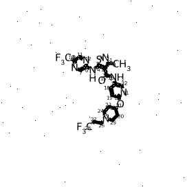 Cc1nsc(Nc2cnc(C(F)(F)F)cn2)c1C(=O)Nc1ccc(OC2CCN(CCC(F)(F)F)CC2)nc1